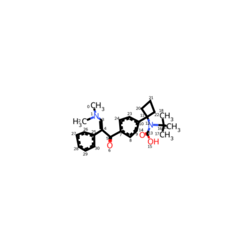 CN(C)C=C(C(=O)c1ccc(C2(N(C(=O)O)C(C)(C)C)CCC2)cc1)c1ccccc1